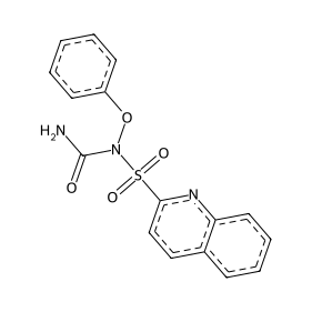 NC(=O)N(Oc1ccccc1)S(=O)(=O)c1ccc2ccccc2n1